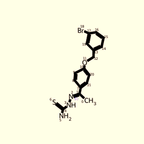 C/C(=N\NC(N)=S)c1ccc(OCc2cccc(Br)c2)cc1